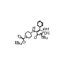 CC(C)(C)OC(=O)N1CCC(NC2=C(c3ccccc3)S(O)(O)N(C(C)(C)C)C2=O)CC1